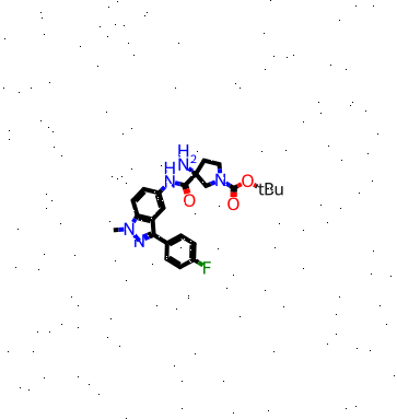 Cn1nc(-c2ccc(F)cc2)c2cc(NC(=O)C3(N)CCN(C(=O)OC(C)(C)C)C3)ccc21